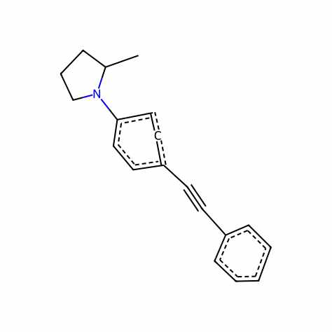 CC1CCCN1c1ccc(C#Cc2ccccc2)cc1